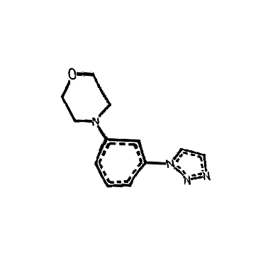 c1cc(N2CCOCC2)cc(-n2ccnn2)c1